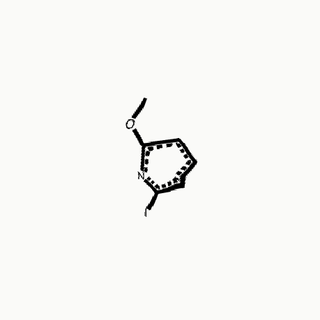 COc1cccc(I)n1